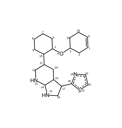 C1=CCC(OC2CCCCC2C2CNC3NCC(c4nccs4)C3C2)CC1